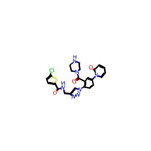 O=C(NCc1cn(-c2ccc(-n3ccccc3=O)cc2C(=O)N2CCNCC2)nn1)c1ccc(Cl)s1